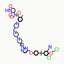 Cc1ccc(N2CCC(CN3CCC(N4CCC5(CC4)CN(c4nccc(COc6ccc(C(C)(C)c7cc(Cl)c(OCCCl)c(C#N)c7)cc6)n4)C5)CC3)CC2)cc1C(=O)N(C=O)C1CCC(=O)NC1=O